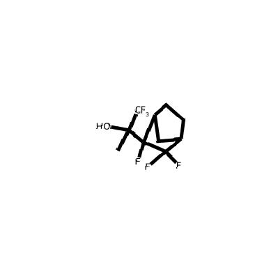 CC(O)(C(F)(F)F)C1(F)C2CCC(C2)C1(F)F